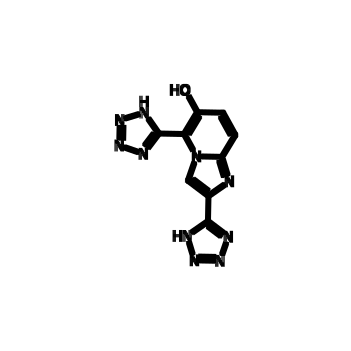 Oc1ccc2nc(-c3nnn[nH]3)cn2c1-c1nnn[nH]1